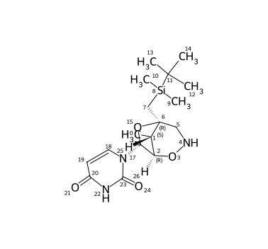 C[C@H]1[C@H]2ONC[C@]1(C[Si](C)(C)C(C)(C)C)O[C@H]2n1ccc(=O)[nH]c1=O